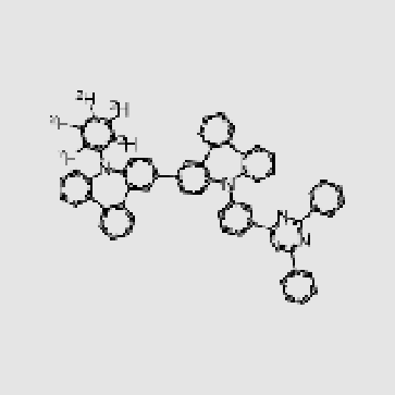 [2H]c1c([2H])c([2H])c(N2c3ccccc3-c3ccccc3-c3cc(-c4ccc5c(c4)-c4ccccc4-c4ccccc4N5c4cccc(-c5nc(-c6ccccc6)nc(-c6ccccc6)n5)c4)ccc32)c([2H])c1[2H]